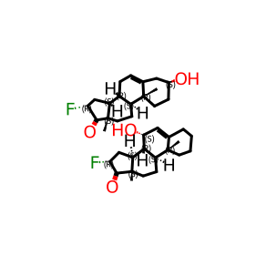 C[C@]12CCCCC1=C[C@@H](O)[C@@H]1[C@@H]2CC[C@]2(C)C(=O)[C@H](F)C[C@@H]12.C[C@]12CC[C@H](O)CC1=CC[C@@H]1[C@@H]2CC[C@]2(C)C(=O)[C@H](F)C[C@@H]12